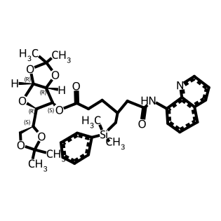 CC1(C)O[C@H]2O[C@H]([C@@H]3COC(C)(C)O3)[C@H](OC(=O)CCC(CC(=O)Nc3cccc4cccnc34)C[Si](C)(C)c3ccccc3)[C@H]2O1